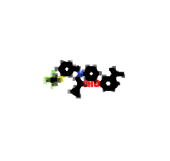 CC(C)c1cccc(Oc2cccc(N(Cc3cccc(SC(F)(F)F)c3)CC(O)C3CC3)c2)c1